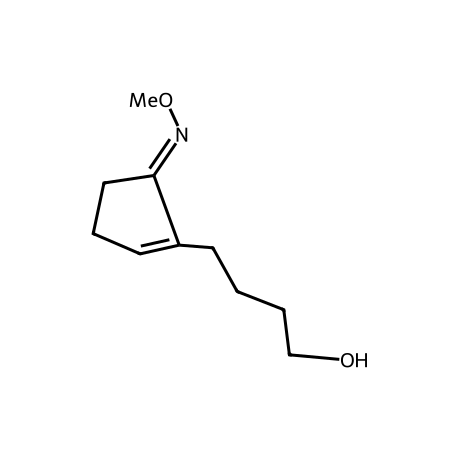 CO/N=C1\CCC=C1CCCCO